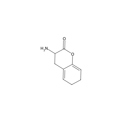 NC1CC2=CCCC=C2OC1=O